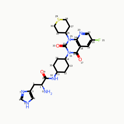 N[C@@H](Cc1c[nH]cn1)C(=O)NC1CCC(n2c(=O)c3cc(F)cnc3n(C3CCSCC3)c2=O)CC1